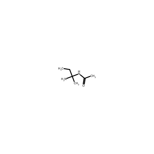 CCC(C)(N)NC(C)=O